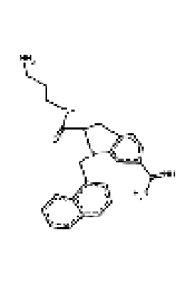 N=C(N)c1ccc2c(c1)N(Cc1cccc3ccccc13)C(C(=O)NCCCN)C2